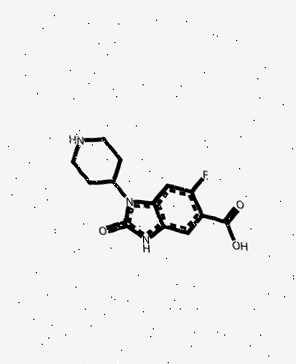 O=C(O)c1cc2[nH]c(=O)n(C3CCNCC3)c2cc1F